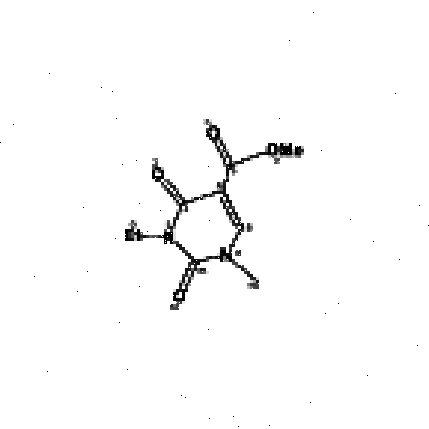 CCn1c(=O)c(C(=O)OC)cn(C)c1=O